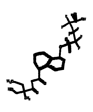 CCC(C)(CO)C(=O)CC(=O)c1cccc2c(OS(=O)(=O)C(F)(F)C(F)(F)C(F)(F)S(=O)(=O)O)cccc12